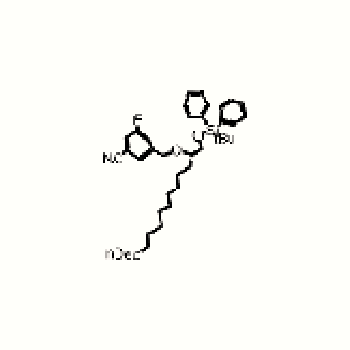 CCCCCCCCCCCCCCCCCCC[C@H](CO[Si](c1ccccc1)(c1ccccc1)C(C)(C)C)OCc1cc(F)cc(C#N)c1